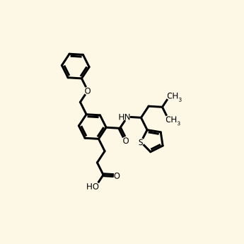 CC(C)CC(NC(=O)c1cc(COc2ccccc2)ccc1CCC(=O)O)c1cccs1